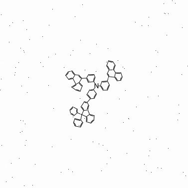 c1ccc(C2(c3ccccc3)c3ccccc3-c3cc(-c4ccc(N(c5cccc(-c6cc7ccccc7c7ccccc67)c5)c5cccc(-c6cc7ccccc7c7ccccc67)c5)cc4)ccc32)cc1